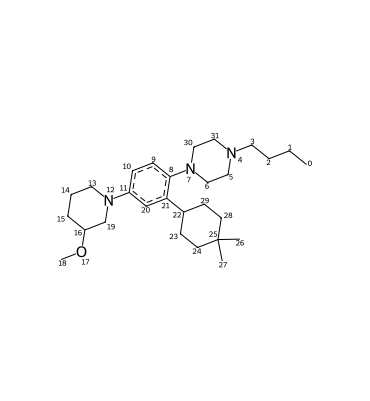 CCCCN1CCN(c2ccc(N3CCCC(OC)C3)cc2C2CCC(C)(C)CC2)CC1